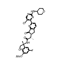 COc1cc(F)cc([C@](C)(CO)NC(=O)[C@@H](C)N2Cc3ccc(-c4nc(NC5CCOCC5)ncc4Cl)nc3C2=O)c1